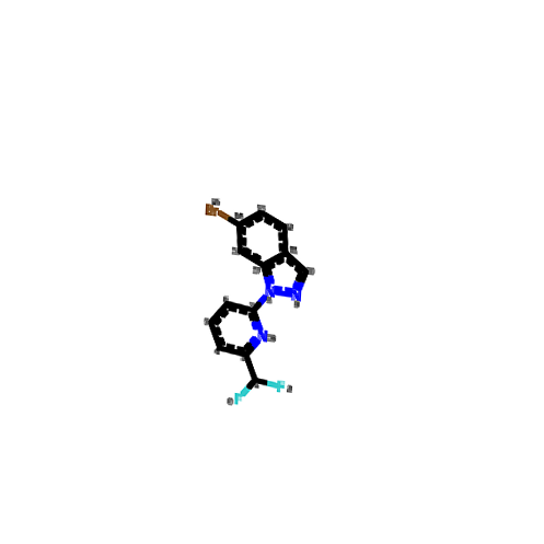 FC(F)c1cccc(-n2ncc3ccc(Br)cc32)n1